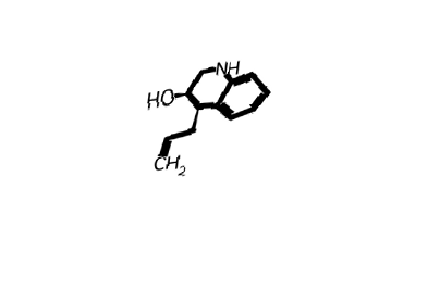 C=CC[C@@H]1c2ccccc2NC[C@@H]1O